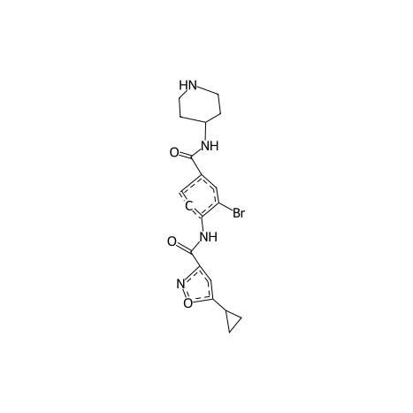 O=C(NC1CCNCC1)c1ccc(NC(=O)c2cc(C3CC3)on2)c(Br)c1